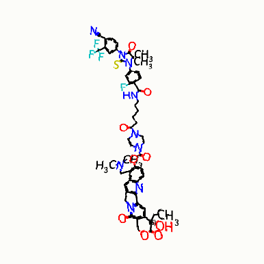 CC[C@@]1(O)C(=O)OCc2c1cc1n(c2=O)Cc2cc3c(CN(C)C)c(OC(=O)N4CCN(C(=O)CCCCCNC(=O)c5ccc(N6C(=S)N(c7ccc(C#N)c(C(F)(F)F)c7)C(=O)C6(C)C)cc5F)CC4)ccc3nc2-1